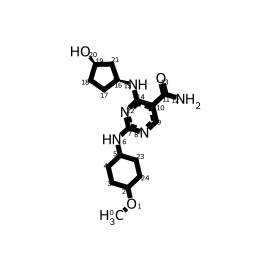 COC1CCC(Nc2ncc(C(N)=O)c(N[C@H]3CC[C@@H](O)C3)n2)CC1